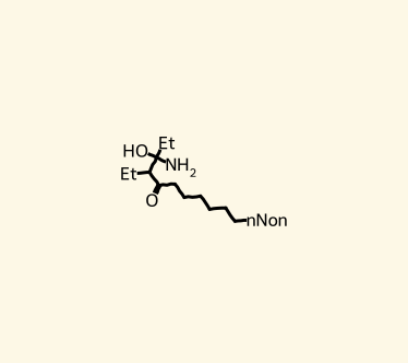 CCCCCCCCCCCCCCCC(=O)C(CC)C(N)(O)CC